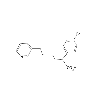 O=C(O)C(CCCCc1cccnc1)c1ccc(Br)cc1